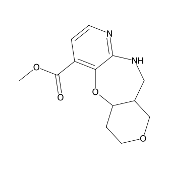 COC(=O)c1ccnc2c1OC1CCOCC1CN2